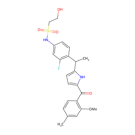 COc1cc(C)ccc1C(=O)c1ccc(C(C)c2ccc(NS(=O)(=O)CCO)cc2F)[nH]1